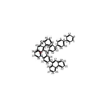 c1ccc(-c2ccc(-c3ccc(N(c4cc(-c5cc6ccccc6c6ccccc56)ccc4-c4ccccc4)c4cccc5sc6ccccc6c45)cc3)cc2)cc1